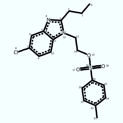 CCCc1nc2cc(Cl)ccc2n1CCOS(=O)(=O)c1ccc(C)cc1